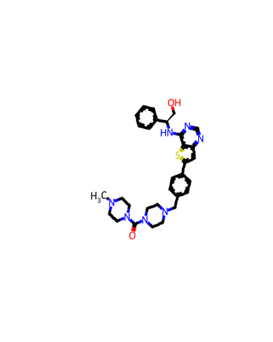 CN1CCN(C(=O)N2CCN(Cc3ccc(-c4cc5ncnc(N[C@H](CO)c6ccccc6)c5s4)cc3)CC2)CC1